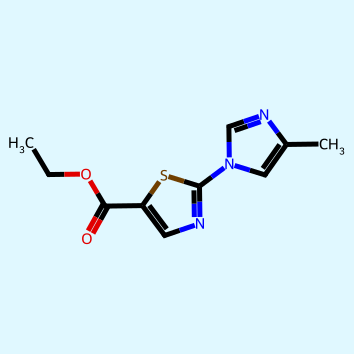 CCOC(=O)c1cnc(-n2cnc(C)c2)s1